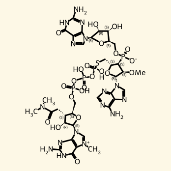 CO[C@@H]1[C@H](P(=O)([O-])OC[C@H]2O[C@@H](n3cnc4c(=O)[nH]c(N)nc43)[C@H](O)[C@@H]2O)[C@@H](CSP(=O)(O)OP(=O)(O)OP(=O)(O)OC[C@H]2O[C@@H](n3c[n+](C)c4c(=O)[nH]c(N)nc43)[C@H](O)[C@@H]2CC(=O)N(C)C)O[C@H]1n1cnc2c(N)ncnc21